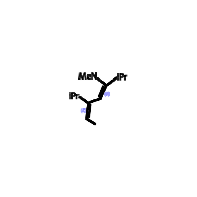 C/C=C(\C=C(/NC)C(C)C)C(C)C